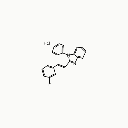 Cl.Fc1cccc(C=Cc2nc3ccccc3n2-c2ccccc2)c1